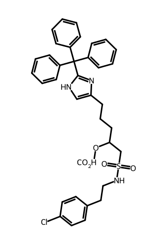 O=C(O)OC(CCCc1c[nH]c(C(c2ccccc2)(c2ccccc2)c2ccccc2)n1)CS(=O)(=O)NCCc1ccc(Cl)cc1